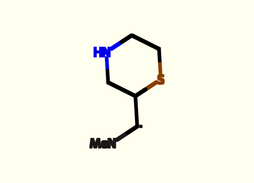 CN[CH]C1CNCCS1